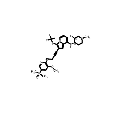 COc1cc(P(C)(C)=O)cnc1NCC#Cc1cc2c(N[C@@H]3CCN(C)C[C@@H]3F)cccn2c1SC(F)(F)F